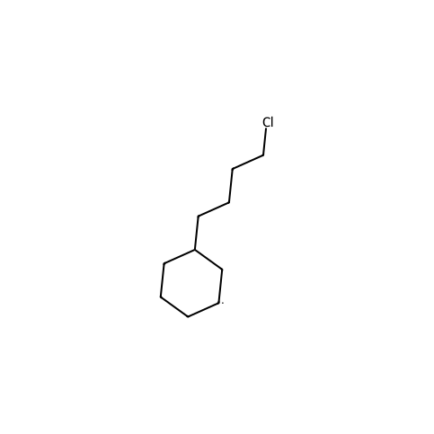 ClCCCCC1C[CH]CCC1